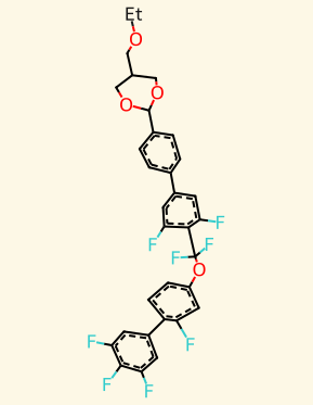 CCOCC1COC(c2ccc(-c3cc(F)c(C(F)(F)Oc4ccc(-c5cc(F)c(F)c(F)c5)c(F)c4)c(F)c3)cc2)OC1